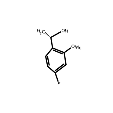 COc1cc(F)ccc1[C@H](C)O